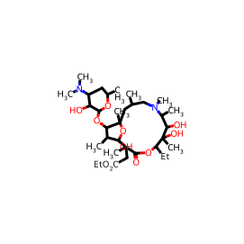 CCOC(=O)CC1(C)C(=O)OC(CC)C(C)(O)C(O)C(C)N(C)CC(C)CC2(C)OC1(O)C(C)C2OC1OC(C)CC(N(C)C)C1O